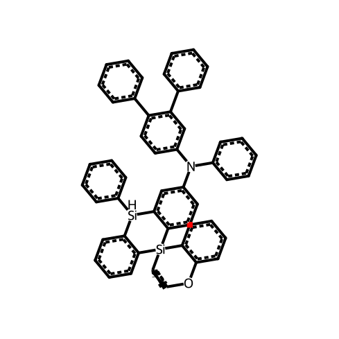 c1ccc(-c2ccc(N(c3ccccc3)c3ccc4c(c3)[SiH](c3ccccc3)c3ccccc3[Si]43c4ccccc4Oc4ccccc43)cc2-c2ccccc2)cc1